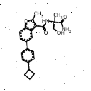 Cc1oc2ccc(-c3ccc(C4CCC4)cc3)cc2c1C(=O)N[C@@](C)(CO)C(N)=O